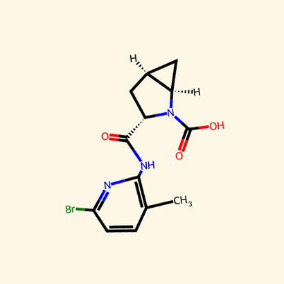 Cc1ccc(Br)nc1NC(=O)[C@@H]1C[C@H]2C[C@H]2N1C(=O)O